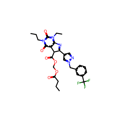 CCCC(=O)OCOC(=O)C1C(c2cnn(Cc3cccc(C(F)(F)F)c3)c2)=Nc2c1c(=O)n(CCC)c(=O)n2CC